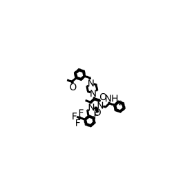 CC(=O)c1cccc(CN2CCN(c3c(C)n(Cc4c(F)cccc4C(F)(F)F)c(=O)n(CC(N)c4ccccc4)c3=O)CC2)c1